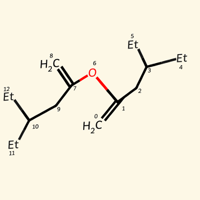 C=C(CC(CC)CC)OC(=C)CC(CC)CC